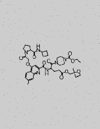 CCOC(=O)N1CCN(C(=O)C(CCC(=O)OCC2(C)CCO2)NC(=O)c2cc(OCC(=O)N3CCCC3C(=O)NC3CCC3)c3ccc(C)cc3n2)CC1